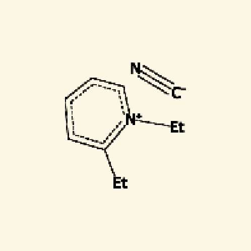 CCc1cccc[n+]1CC.[C-]#N